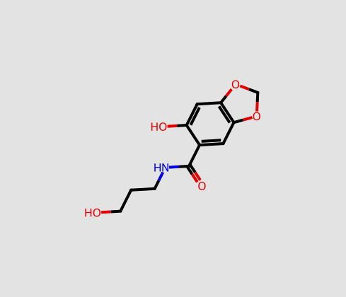 O=C(NCCCO)c1cc2c(cc1O)OCO2